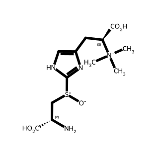 C[N+](C)(C)[C@@H](Cc1c[nH]c([S+]([O-])C[C@H](N)C(=O)O)n1)C(=O)O